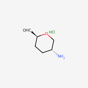 Cl.N[C@@H]1CC[C@@H](C=O)OC1